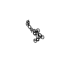 COc1ccc(CN2C(=O)CCC(n3c(=O)n(C)c4c(N5CCC6(CCC(O[Si](C)(C)C(C)(C)C)CC6)CC5)cccc43)C2=O)cc1